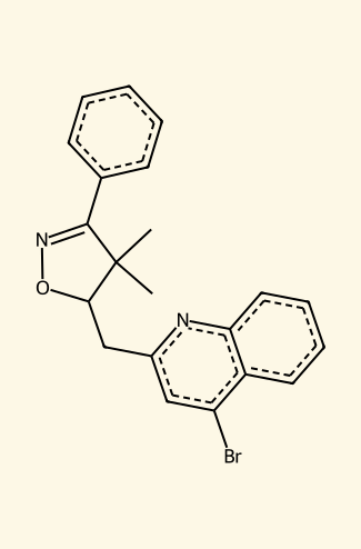 CC1(C)C(c2ccccc2)=NOC1Cc1cc(Br)c2ccccc2n1